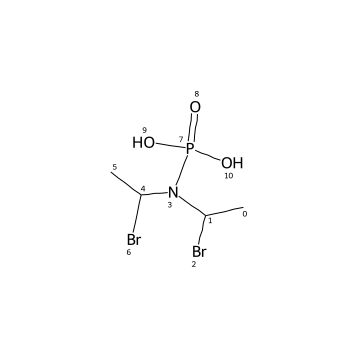 CC(Br)N(C(C)Br)P(=O)(O)O